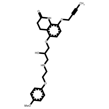 CC#CCOc1ccc(OCC(O)CNCCOc2ccc(OC)cc2)c2c1NC(=O)CC2